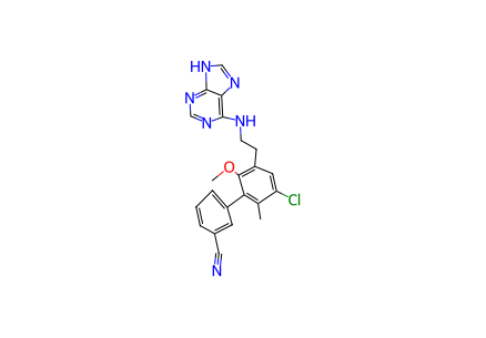 COc1c(CCNc2ncnc3[nH]cnc23)cc(Cl)c(C)c1-c1cccc(C#N)c1